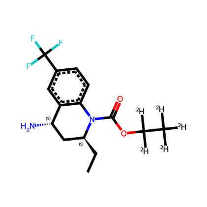 [2H]C([2H])([2H])C([2H])([2H])OC(=O)N1c2ccc(C(F)(F)F)cc2[C@@H](N)C[C@@H]1CC